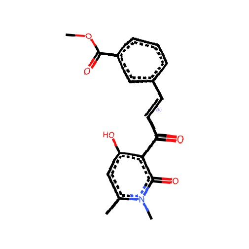 COC(=O)c1cccc(/C=C/C(=O)c2c(O)cc(C)n(C)c2=O)c1